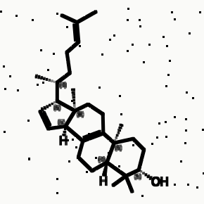 CC(C)=CCC[C@@H](C)[C@H]1C=C[C@@H]2C3=C(CC[C@@]21C)[C@@]1(C)CC[C@H](O)C(C)(C)[C@@H]1CC3